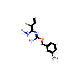 C=C/C(F)=C(\N=C(/N)OCc1cccc(OC)c1)NN